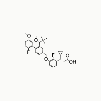 COc1ccc(F)c(-c2ccc(COc3cccc([C@@H](CC(=O)O)C4CC4)c3F)cc2[C@H](OC)C(C)(C)C)c1